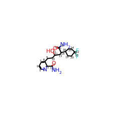 NC(=O)c1ncccc1C[CH]C(O)CC(C(N)=O)C1CCC(F)(F)CC1